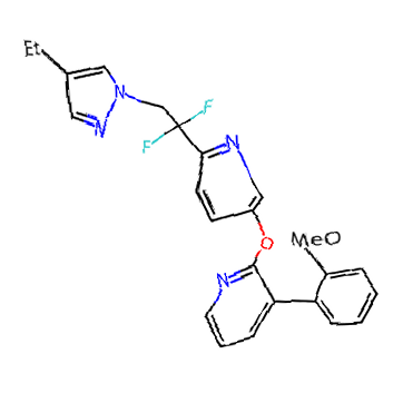 CCc1cnn(CC(F)(F)c2ccc(Oc3ncccc3-c3ccccc3OC)cn2)c1